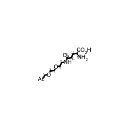 CC(=O)COCCOCCNC(=O)CC[C@H](N)C(=O)O